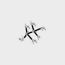 [CH2]C[Si](C)(C)[Si](C)(C)C